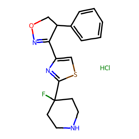 Cl.FC1(c2nc(C3=NOCC3c3ccccc3)cs2)CCNCC1